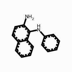 Nc1ccc2ccccc2c1Nc1ccccc1